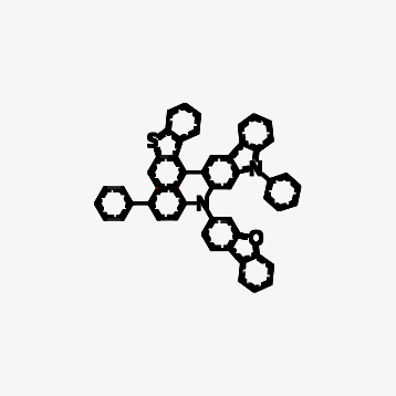 c1ccc(-c2ccc(N(c3ccc4c(c3)oc3ccccc34)c3cc4c(cc3-c3cccc5sc6ccccc6c35)c3ccccc3n4-c3ccccc3)cc2)cc1